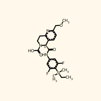 CC[Si](C)(C)c1c(F)cc(NC(=O)[C@@H]2c3ccc(COC)nc3CCN2C(=O)O)cc1F